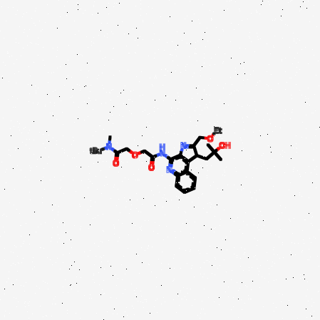 CCOCC1=Nc2c(NC(=O)COCC(=O)N(C)C(C)(C)C)nc3ccccc3c2C1CC(C)(C)O